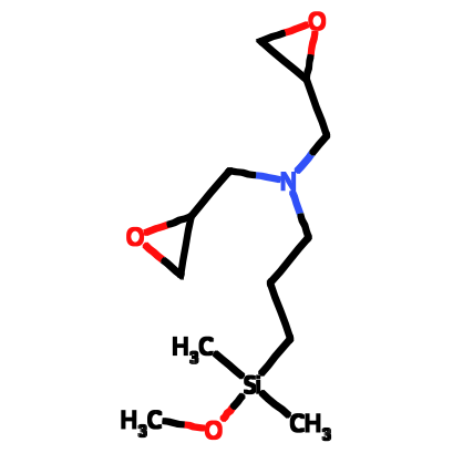 CO[Si](C)(C)CCCN(CC1CO1)CC1CO1